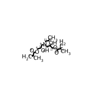 C=C(C)C(=O)OCC(O)CN(CCC)CC(O)COC(=O)C(=C)C